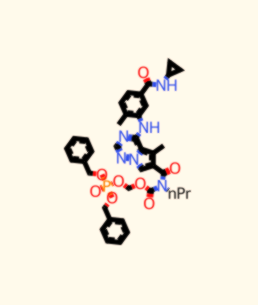 CCCN(C(=O)OCOP(=O)(OCc1ccccc1)OCc1ccccc1)C(=O)c1cn2ncnc(Nc3cc(C(=O)NC4CC4)ccc3C)c2c1C